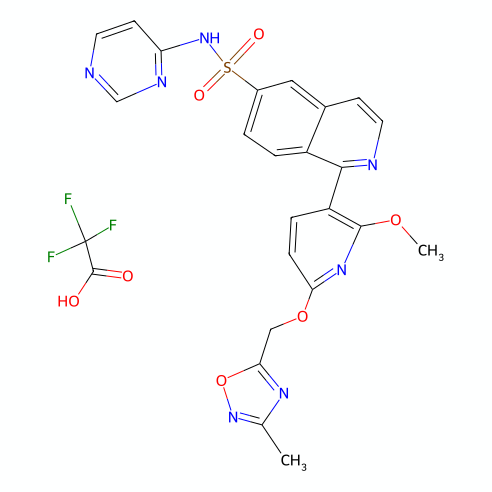 COc1nc(OCc2nc(C)no2)ccc1-c1nccc2cc(S(=O)(=O)Nc3ccncn3)ccc12.O=C(O)C(F)(F)F